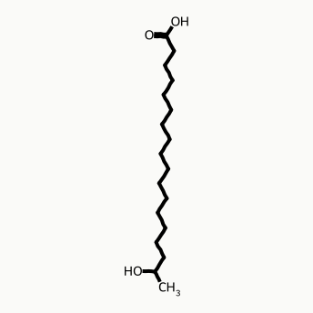 CC(O)CCCCCCCCCCCCCCCC(=O)O